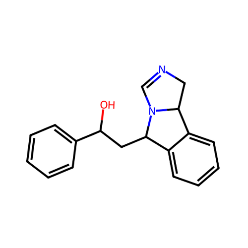 OC(CC1c2ccccc2C2CN=CN21)c1ccccc1